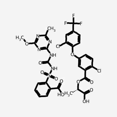 COc1nc(C)nc(NC(=O)NS(=O)(=O)c2ccccc2C(=O)O)n1.C[C@H](OC(=O)c1cc(Oc2ccc(C(F)(F)F)cc2Cl)ccc1Cl)C(=O)O